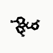 FC(Cc1cccc(Br)n1)(c1cccc(Br)n1)c1cccc(Br)n1